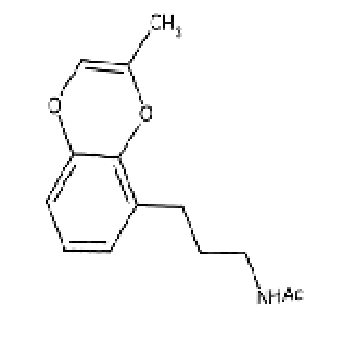 CC(=O)NCCCc1cccc2c1OC(C)=CO2